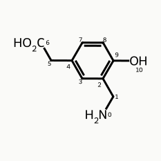 NCc1cc(CC(=O)O)ccc1O